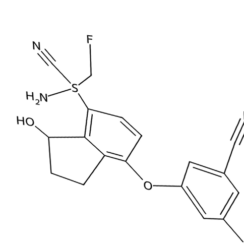 N#Cc1cc(F)cc(Oc2ccc(S(N)(C#N)CF)c3c2CCC3O)c1